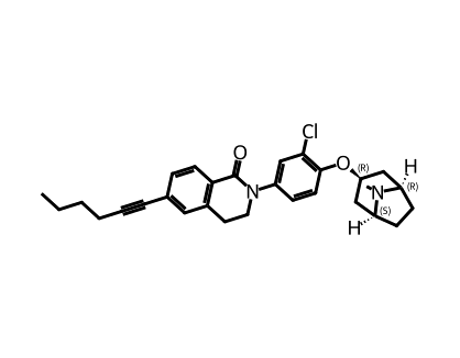 CCCCC#Cc1ccc2c(c1)CCN(c1ccc(O[C@H]3C[C@H]4CC[C@@H](C3)N4C)c(Cl)c1)C2=O